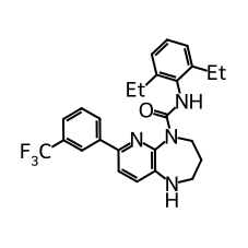 CCc1cccc(CC)c1NC(=O)N1CCCNc2ccc(-c3cccc(C(F)(F)F)c3)nc21